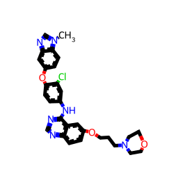 Cn1cnc2cc(Oc3ccc(Nc4ncnc5ccc(OCCCN6CCOCC6)cc45)cc3Cl)ccc21